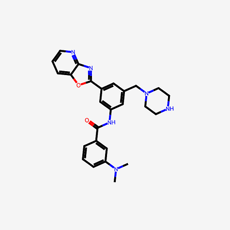 CN(C)c1cccc(C(=O)Nc2cc(CN3CCNCC3)cc(-c3nc4ncccc4o3)c2)c1